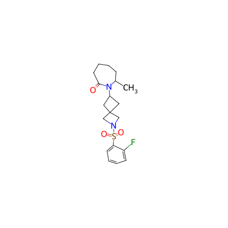 CC1CCCCC(=O)N1C1CC2(C1)CN(S(=O)(=O)c1ccccc1F)C2